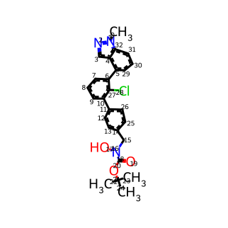 Cn1ncc2c(-c3cccc(-c4ccc(CN(O)C(=O)OC(C)(C)C)cc4)c3Cl)cccc21